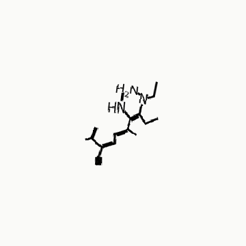 C#C/C(=C/C=C(C)/C(NC)=C(\CC)N(N)CC)C(=C)C